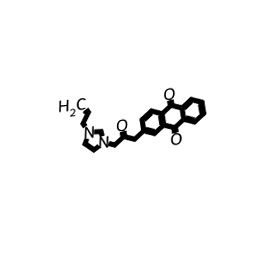 C=CCN1CCN(CC(=O)Cc2ccc3c(c2)C(=O)c2ccccc2C3=O)C1